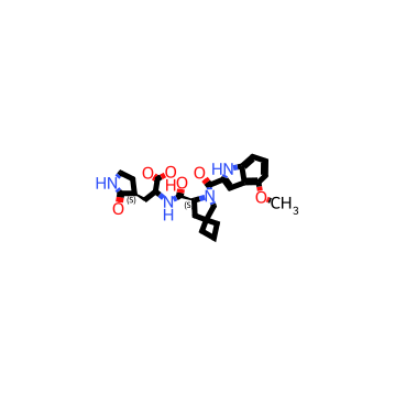 COc1cccc2[nH]c(C(=O)N3CC4(CCC4)C[C@H]3C(=O)NC(C[C@@H]3CCNC3=O)C(=O)O)cc12